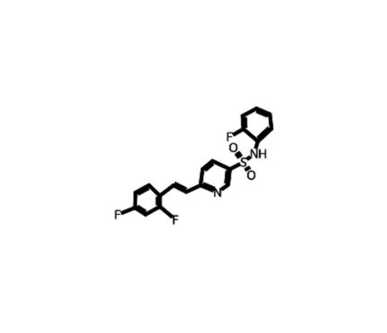 O=S(=O)(Nc1ccccc1F)c1ccc(C=Cc2ccc(F)cc2F)nc1